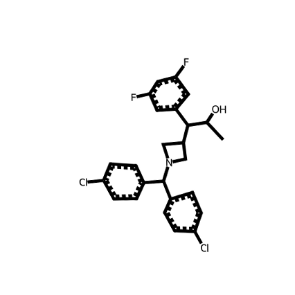 CC(O)C(c1cc(F)cc(F)c1)C1CN(C(c2ccc(Cl)cc2)c2ccc(Cl)cc2)C1